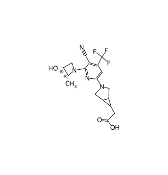 C[C@@H]1[C@H](O)CN1c1nc(N2CC3C(CC(=O)O)C3C2)cc(C(F)(F)F)c1C#N